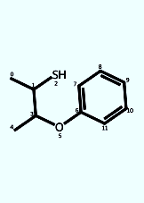 CC(S)C(C)Oc1ccccc1